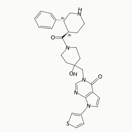 O=C([C@@H]1CCNC[C@H]1c1ccccc1)N1CCC(O)(Cn2cnc3c(ccn3-c3ccsc3)c2=O)CC1